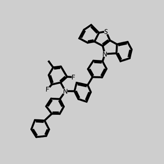 Cc1cc(F)c(N(c2ccc(-c3ccccc3)cc2)c2cccc(-c3ccc(-n4c5ccccc5c5sc6ccccc6c54)cc3)c2)c(F)c1